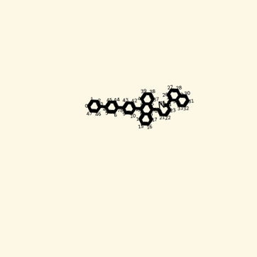 c1ccc(-c2ccc(-c3ccc(-c4c5ccccc5c(-c5cccc(-c6cccc7ccccc67)n5)c5ccccc45)cc3)cc2)cc1